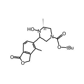 Cc1c(C2CN(C(=O)OC(C)(C)C)C[C@@H](C)N2O)ccc2c1COC2=O